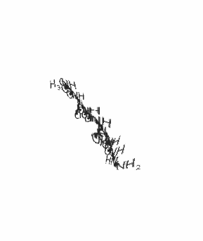 CNC(=O)CC(=O)NCCN(CCNC(=O)CC(=O)NCCN(CCNC(=O)CC(=O)NCCNCCN)CC(O)CO)CC(O)CCl